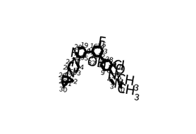 CN(C)/C=C\N(C=O)c1ccc(-c2cc(F)cc(-c3ccnc(N4CCN(C56CC7CC75C6)CC4)c3)c2O)cc1Cl